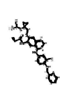 C=CC(=O)Nc1cc2c(Nc3ccc(OCc4ccccn4)c(Cl)c3)ncnc2cc1OCC1(OC(N)=O)CC1